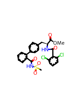 COC(=O)[C@H](Cc1ccc(-c2ccccc2C(=O)NS(C)(=O)=O)cc1)NC(=O)c1c(Cl)cccc1Cl